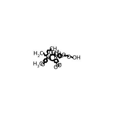 C=C/C=C(\C/C=C\C(C)OC)N(C1=C/Cc2cc([N+](=O)[O-])ccc2N(c2ccc(OCCOCCO)cc2)C(=C)/C=C\1)c1ccc(OC)cc1